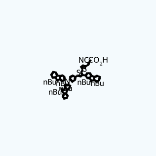 CCCCC1(CCCC)c2ccccc2-c2ccc(-c3cc(-c4ccc(N(c5ccc6c(c5)C(CCCC)(CCCC)c5ccccc5-6)c5ccc6c(c5)C(CCCC)(CCCC)c5ccccc5-6)cc4)sc3-c3ccc(/C=C(\C#N)C(=O)O)s3)cc21